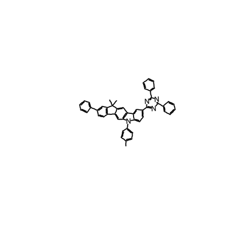 Cc1ccc(-n2c3ccc(-c4nc(-c5ccccc5)nc(-c5ccccc5)n4)cc3c3cc4c(cc32)-c2ccc(-c3ccccc3)cc2C4(C)C)cc1